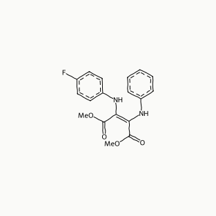 COC(=O)C(Nc1ccccc1)=C(Nc1ccc(F)cc1)C(=O)OC